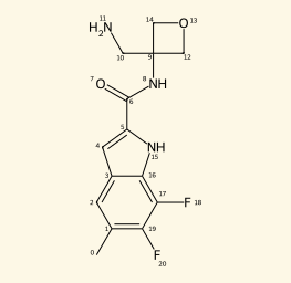 Cc1cc2cc(C(=O)NC3(CN)COC3)[nH]c2c(F)c1F